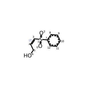 O=S(=O)(/C=C\CO)c1ccccc1